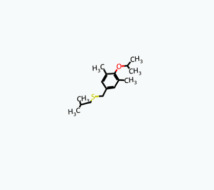 Cc1cc(CSCC(C)C)cc(C)c1OC(C)C